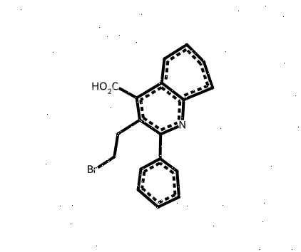 O=C(O)c1c(CCBr)c(-c2ccccc2)nc2ccccc12